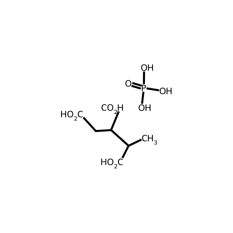 CC(C(=O)O)C(CC(=O)O)C(=O)O.O=P(O)(O)O